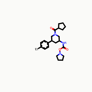 CCc1ccc(C2CC(NC(=O)ON3CCCC3)CN(C(=O)C3CCCC3)C2)cc1